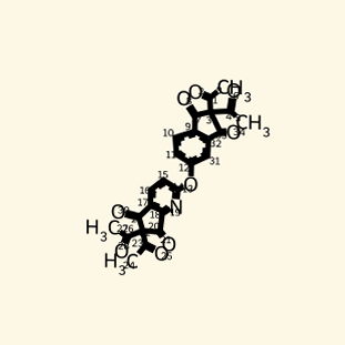 CC(=O)C1(C(C)=O)C(=O)c2ccc(Oc3ccc4c(n3)C(=O)C(C(C)=O)(C(C)=O)C4=O)cc2C1=O